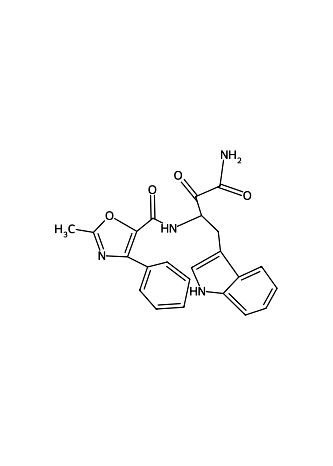 Cc1nc(-c2ccccc2)c(C(=O)NC(Cc2c[nH]c3ccccc23)C(=O)C(N)=O)o1